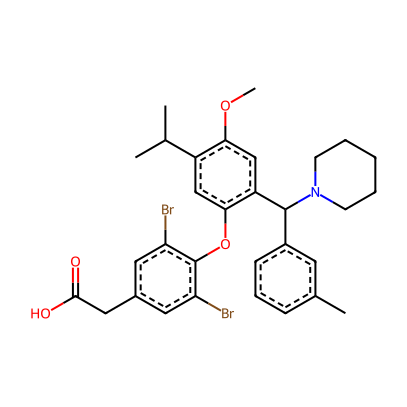 COc1cc(C(c2cccc(C)c2)N2CCCCC2)c(Oc2c(Br)cc(CC(=O)O)cc2Br)cc1C(C)C